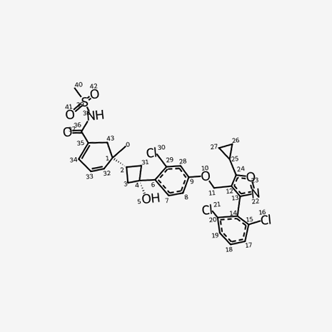 CC1([C@H]2C[C@](O)(c3ccc(OCc4c(-c5c(Cl)cccc5Cl)noc4C4CC4)cc3Cl)C2)C=CC=C(C(=O)NS(C)(=O)=O)C1